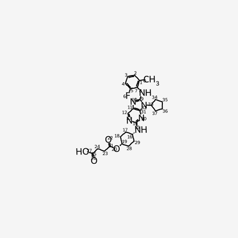 Cc1cccc(F)c1Nc1nc2cnc(N[C@H]3CC[C@H](OC(=O)CCC(=O)O)CC3)nc2n1C1CCCC1